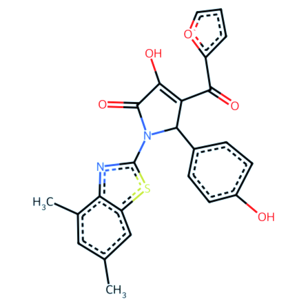 Cc1cc(C)c2nc(N3C(=O)C(O)=C(C(=O)c4ccco4)C3c3ccc(O)cc3)sc2c1